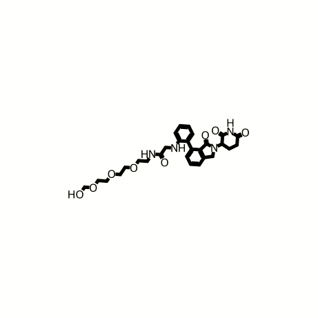 O=C(CNc1ccccc1-c1cccc2c1C(=O)N(C1CCC(=O)NC1=O)C2)NCCOCCOCCOCO